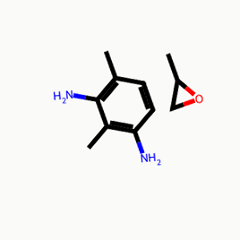 CC1CO1.Cc1ccc(N)c(C)c1N